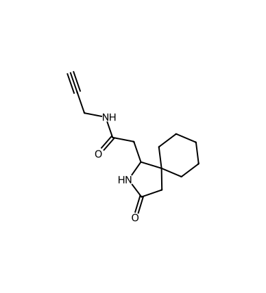 C#CCNC(=O)CC1NC(=O)CC12CCCCC2